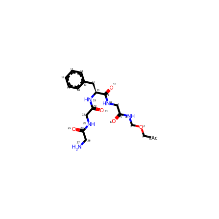 CC(=O)COCNC(=O)CNC(=O)[C@H](Cc1ccccc1)NC(=O)CNC(=O)CN